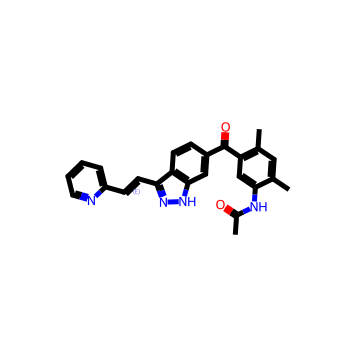 CC(=O)Nc1cc(C(=O)c2ccc3c(/C=C/c4ccccn4)n[nH]c3c2)c(C)cc1C